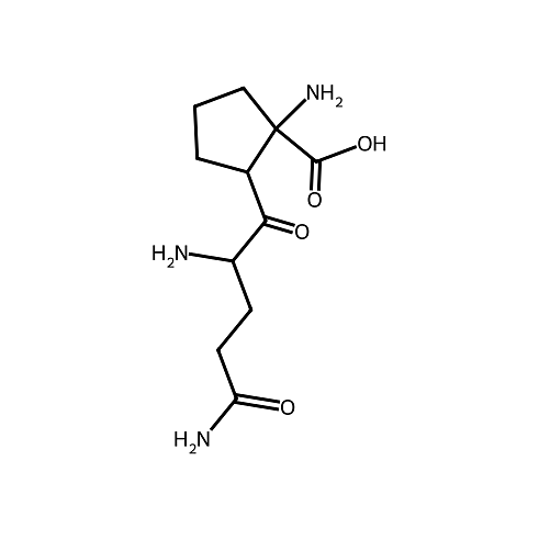 NC(=O)CCC(N)C(=O)C1CCCC1(N)C(=O)O